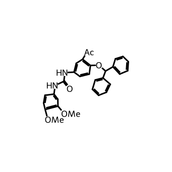 COc1ccc(NC(=O)Nc2ccc(OC(c3ccccc3)c3ccccc3)c(C(C)=O)c2)cc1OC